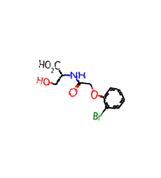 O=C(COc1ccccc1Br)N[C@@H](CO)C(=O)O